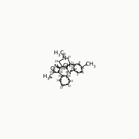 Cc1ccc2c(c1)c1c(n2-c2ccccc2-c2c(C)noc2C)CCN(C)C1